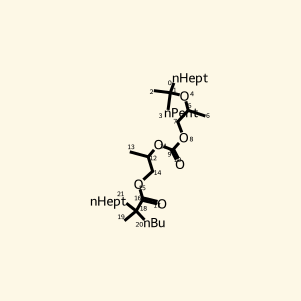 CCCCCCCC(C)(CCCCC)OC(C)COC(=O)OC(C)COC(=O)C(C)(CCCC)CCCCCCC